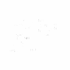 CNc1cc(C)nc(Nc2ccc(OC)c(C3=NC4=CNCCN4N3)c2)n1.Cl